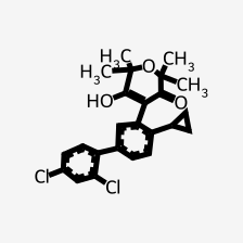 CC1(C)OC(C)(C)C(O)=C(c2cc(-c3ccc(Cl)cc3Cl)ccc2C2CC2)C1=O